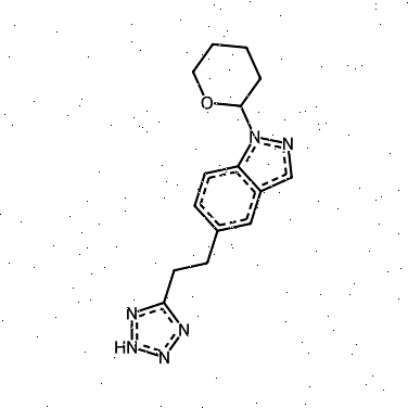 c1cc2c(cnn2C2CCCCO2)cc1CCc1nn[nH]n1